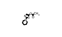 CC(=O)Oc1cnc(N2CCCCC2)s1